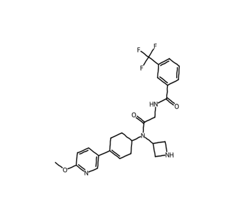 COc1ccc(C2=CCC(N(C(=O)CNC(=O)c3cccc(C(F)(F)F)c3)C3CNC3)CC2)cn1